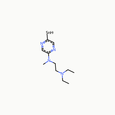 CCN(CC)CCN(C)c1cn[c]([SnH])cn1